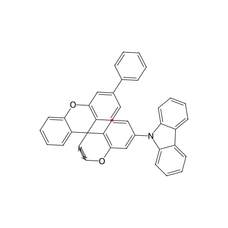 c1ccc(-c2ccc3c(c2)Oc2ccccc2C32c3ccccc3Oc3cc(-n4c5ccccc5c5ccccc54)ccc32)cc1